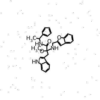 COC(Cc1c[nH]c2ccccc12)(NCc1cc2ccccc2o1)C(=O)NC(C)c1ccccc1